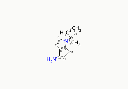 CCC(C)(C)n1ccc2c1CCC2N